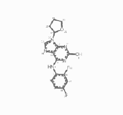 Oc1nc(Nc2ccc(F)cc2F)c2ncn(C3CCCO3)c2n1